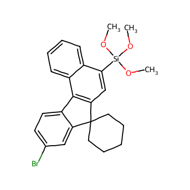 CO[Si](OC)(OC)c1cc2c(c3ccccc13)-c1ccc(Br)cc1C21CCCCC1